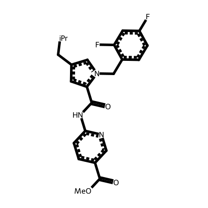 COC(=O)c1ccc(NC(=O)c2cc(CC(C)C)cn2Cc2ccc(F)cc2F)nc1